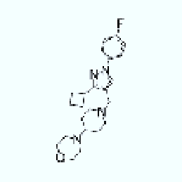 Fc1ccc(-n2cc(CN3CCC(N4CCOCC4)CC3)c(C3CCC3)n2)cc1